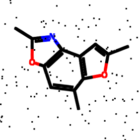 Cc1cc2c(o1)c(C)cc1oc(C)nc12